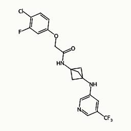 O=C(COc1ccc(Cl)c(F)c1)NC12CC(Nc3cncc(C(F)(F)F)c3)(C1)C2